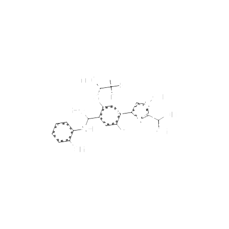 Cc1ccccc1NC(O)c1cc(F)c(-c2cn(C)c(C(C)O)n2)cc1O[C@@H](C)C(F)(F)F